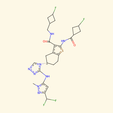 Cn1nc(C(F)F)cc1Nc1nncn1[C@H]1CCc2sc(NC(=O)C3CC(F)C3)c(C(=O)NCC3CC(F)C3)c2C1